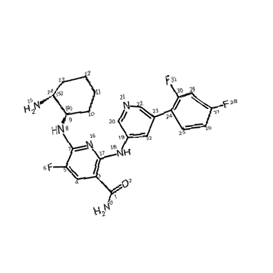 NC(=O)c1cc(F)c(N[C@@H]2CCCC[C@@H]2N)nc1Nc1cncc(-c2ccc(F)cc2F)c1